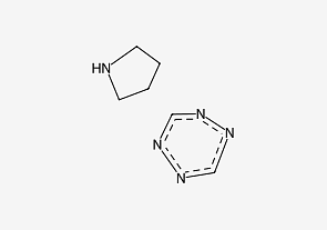 C1CCNC1.c1nncnn1